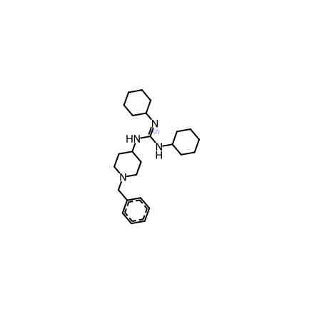 c1ccc(CN2CCC(N/C(=N\C3CCCCC3)NC3CCCCC3)CC2)cc1